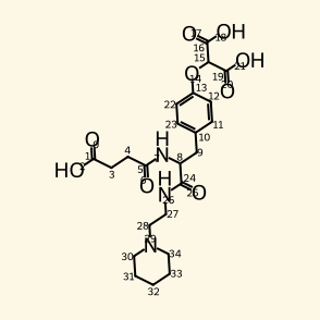 O=C(O)CCC(=O)NC(Cc1ccc(OC(C(=O)O)C(=O)O)cc1)C(=O)NCCN1CCCCC1